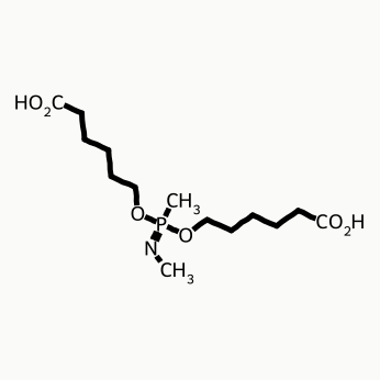 CN=P(C)(OCCCCCC(=O)O)OCCCCCC(=O)O